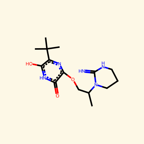 CC(COc1nc(C(C)(C)C)c(O)[nH]c1=O)N1CCCNC1=N